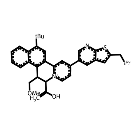 C=C(O)C1C(COC)c2c(cc(C(C)(C)C)c3ccccc23)-c2cc(-c3cnc4sc(CC(C)C)cc4c3)cc[n+]21